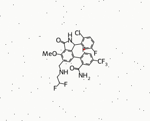 COc1c(CNCC(F)F)cc(-c2c(F)cc(C(F)(F)F)cc2C(N)=O)c2c1C(=O)NC2c1cc(F)ccc1Cl